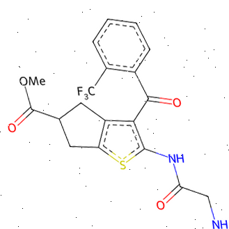 COC(=O)C1Cc2sc(NC(=O)CN)c(C(=O)c3ccccc3C(F)(F)F)c2C1